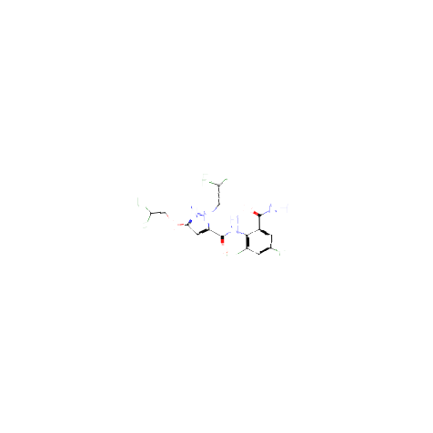 NC(=O)c1cc(Cl)cc(Cl)c1NC(=O)c1cc(OCC(F)F)nn1CC(F)F